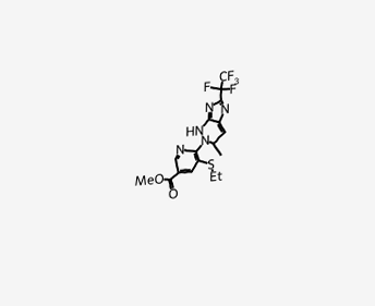 CCSc1cc(C(=O)OC)cnc1N1NC2=NC(C(F)(F)C(F)(F)F)=NC2=CC1C